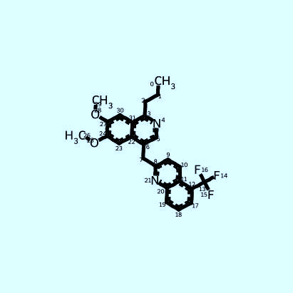 CCCc1ncc(Cc2ccc3c(C(F)(F)F)cccc3n2)c2cc(OC)c(OC)cc12